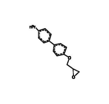 CCCc1ccc(-c2ccc(OCC3CO3)cc2)cc1